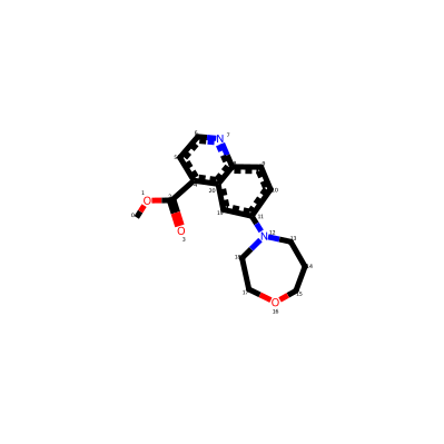 COC(=O)c1ccnc2ccc(N3CCCOCC3)cc12